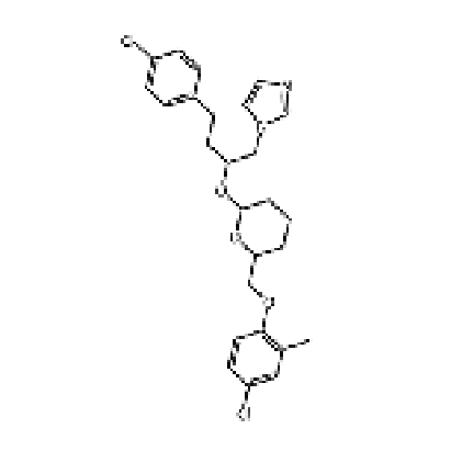 Cc1cc(Cl)ccc1OCC1CCCC(OC(CCc2ccc(Cl)cc2)Cn2ccnc2)O1